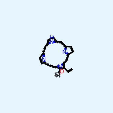 [2H]c1c(C=C)c2cc3nc(cc4ccc(cc5nc(cc1n2OCC)C=C5)[nH]4)C=C3